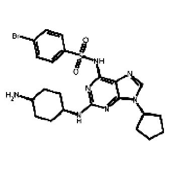 NC1CCC(Nc2nc(NS(=O)(=O)c3ccc(Br)cc3)c3ncn(C4CCCC4)c3n2)CC1